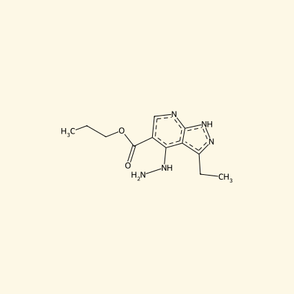 CCCOC(=O)c1cnc2[nH]nc(CC)c2c1NN